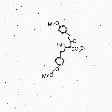 CCOC(=O)C(C(=O)CCc1ccc(OC)cc1)=C(O)C=Cc1ccc(OCOC)cc1